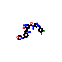 O=C(Nc1cnn(Cc2ccc(F)c(F)c2)c1)c1c[nH]c(=O)c(-c2cc3cc(CN4CCOCC4)ccc3[nH]2)c1